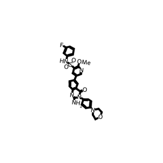 COc1ncc(-c2ccc3nc(N)n(-c4ccc(N5CCOCC5)cc4)c(=O)c3c2)cc1S(=O)(=O)Nc1cccc(F)c1